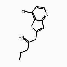 CCCC(=N)Cc1cc2nccc(Cl)c2s1